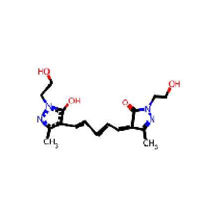 CC1=NN(CCO)C(=O)C1=CC=CC=Cc1c(C)nn(CCO)c1O